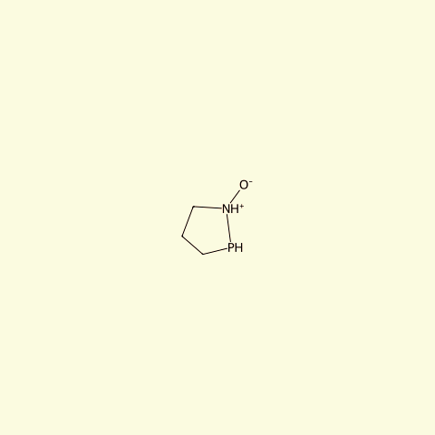 [O-][NH+]1CCCP1